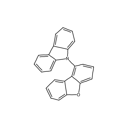 c1ccc2c(c1)oc1cccc(-n3c4ccccc4c4ccccc43)c12